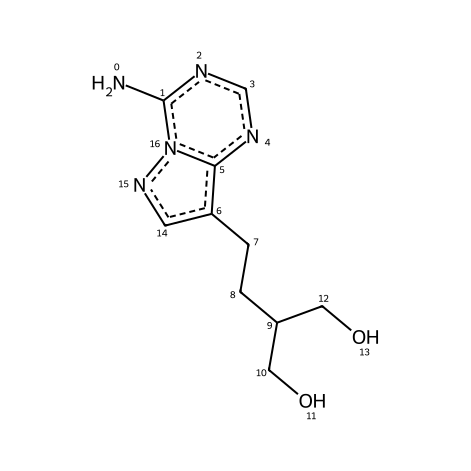 Nc1ncnc2c(CCC(CO)CO)cnn12